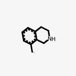 [CH2]c1cccc2c1CNCC2